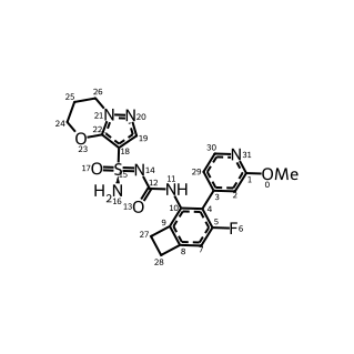 COc1cc(-c2c(F)cc3c(c2NC(=O)N=[S@](N)(=O)c2cnn4c2OCCC4)CC3)ccn1